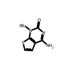 CC(C)(C)n1c(=O)nc(N)c2ccsc21